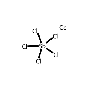 [Ce].[Cl][Sb]([Cl])([Cl])([Cl])[Cl]